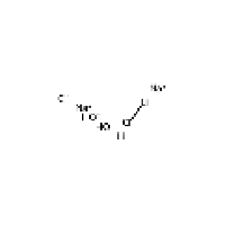 [Cl-].[Li+].[Li][Cl].[Na+].[Na+].[OH-].[OH-]